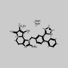 CCCCc1nc2c(n1Cc1ccc(-c3ccccc3)c(-c3nnn[nH]3)c1)C1C(O)=C(C(=O)OCC)C(=O)N1CC2.[NaH].[NaH]